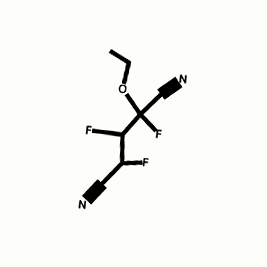 CCOC(F)(C#N)C(F)C(F)C#N